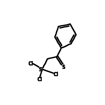 S=C(C[Si](Cl)(Cl)Cl)c1ccccc1